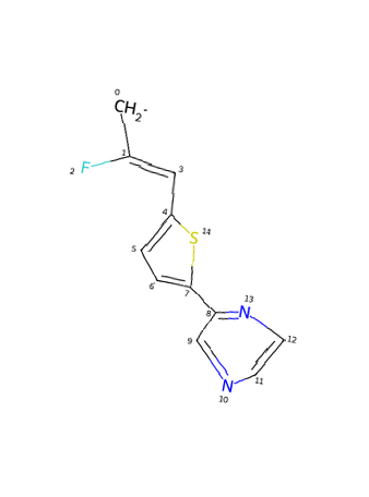 [CH2]/C(F)=C/c1ccc(-c2cnccn2)s1